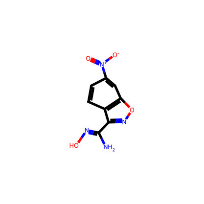 NC(=NO)c1noc2cc([N+](=O)[O-])ccc12